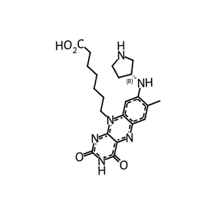 Cc1cc2nc3c(=O)[nH]c(=O)nc-3n(CCCCCCC(=O)O)c2cc1N[C@@H]1CCNC1